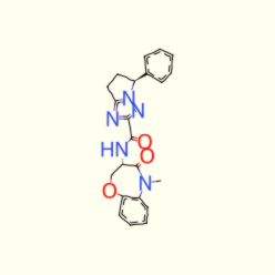 CN1C(=O)[C@@H](NC(=O)c2nc3n(n2)[C@H](c2ccccc2)CC3)COc2ccccc21